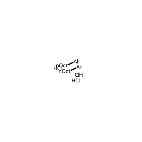 CCCCCCC[CH2][Al].CCCCCCC[CH2][Al].Cl.Cl.Cl